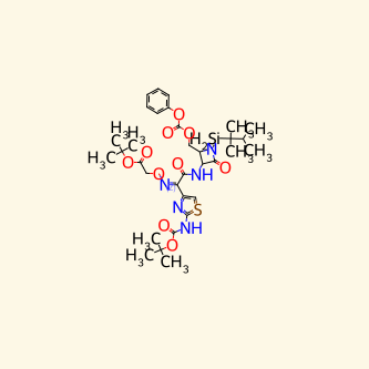 CC(C)C(C)(C)[SiH2]N1C(=O)C(NC(=O)/C(=N\OCC(=O)OC(C)(C)C)c2csc(NC(=O)OC(C)(C)C)n2)C1COC(=O)Oc1ccccc1